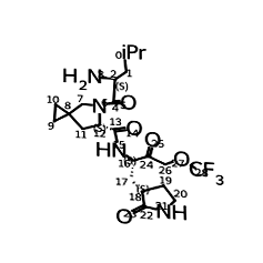 CC(C)C[C@H](N)C(=O)N1CC2(CC2)C[C@H]1C(=O)N[C@@H](C[C@@H]1CCNC1=O)C(=O)COC(F)(F)F